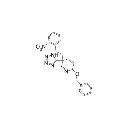 O=[N+]([O-])c1ccccc1CCC1(c2nnn[nH]2)C=CC(OCc2ccccc2)N=C1